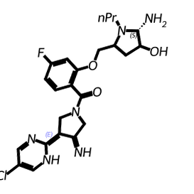 CCCN1C(COc2cc(F)ccc2C(=O)N2CC(=N)/C(=C3/N=CC(Cl)=CN3)C2)CC(O)[C@H]1N